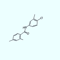 Cc1ccc(C(=O)Nc2ccc(Cl)c(C)c2)c(C)c1